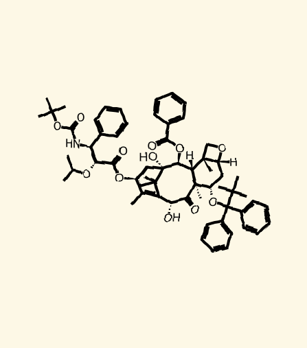 CC1=C2[C@@H](O)C(=O)[C@]3(C)[C@@H](OC(c4ccccc4)(c4ccccc4)C(C)(C)C)C[C@H]4OC[C@@]4(C)[C@H]3[C@H](OC(=O)c3ccccc3)[C@](O)(C[C@@H]1OC(=O)[C@H](OC(C)C)[C@@H](NC(=O)OC(C)(C)C)c1ccccc1)C2(C)C